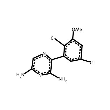 COc1cc(Cl)cc(-c2ncc(N)nc2N)c1Cl